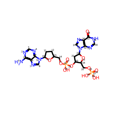 Nc1ncnc2c1ncn2C1CCC(COP(=O)(O)OC2CC(n3cnc4c(=O)[nH]cnc43)OC2COP(=O)(O)O)O1